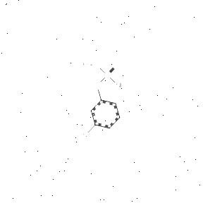 COP(N)(=O)Oc1cccc([N+](=O)[O-])c1